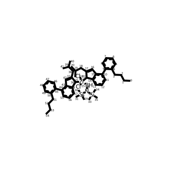 CCCCc1ccccc1-c1cccc2c1C=C(CC(C)C)[CH]2[Zr]([Cl])([Cl])([BH]N([Si](C)(C)C)[Si](C)(C)C)[CH]1C(CC(C)C)=Cc2c(-c3ccccc3CCCC)cccc21